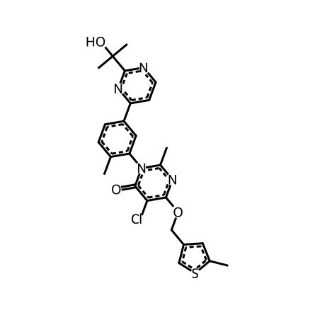 Cc1cc(COc2nc(C)n(-c3cc(-c4ccnc(C(C)(C)O)n4)ccc3C)c(=O)c2Cl)cs1